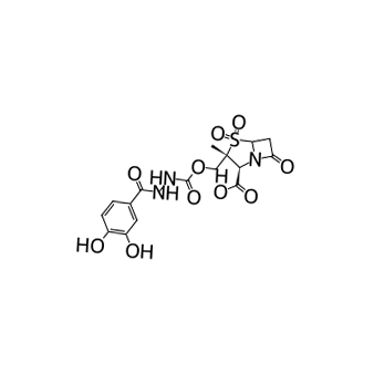 C[C@]1(COC(=O)NNC(=O)c2ccc(O)c(O)c2)[C@H](C(=O)O)N2C(=O)CC2S1(=O)=O